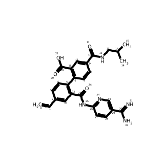 C=Cc1ccc(-c2ccc(C(=O)NCC(C)C)cc2C(=O)O)c(C(=O)Nc2ccc(C(=N)N)cn2)c1